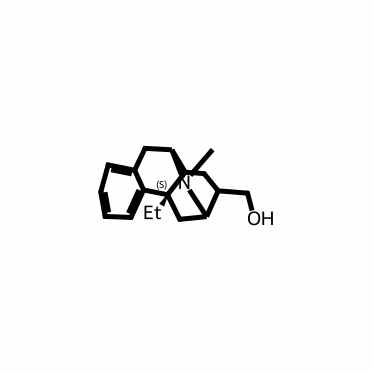 CC[C@]12CC3C(CO)CC1C(Cc1ccccc12)N3C